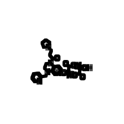 O=C(CCN1CCCC1)N1CCN(Cc2ccccn2)c2ccccc21.O=C(O)C(=O)O.O=C(O)C(=O)O